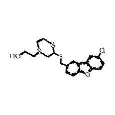 OCCN1CC[N]C(SCc2ccc3oc4ccc(Cl)cc4c3c2)C1